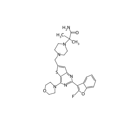 CC(C)(C(N)=O)N1CCN(Cc2cc3nc(-c4c(F)oc5ccccc45)nc(N4CCOCC4)c3s2)CC1